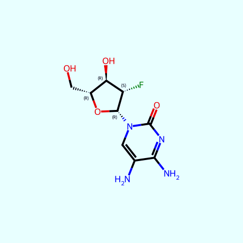 Nc1cn([C@@H]2O[C@H](CO)[C@@H](O)[C@@H]2F)c(=O)nc1N